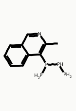 Cc1ncc2ccccc2c1P(P)PP